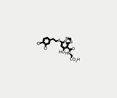 O=C(O)CNC(=O)c1c(O)cc(SCCc2ccc(Cl)c(Cl)c2)n2ncnc12